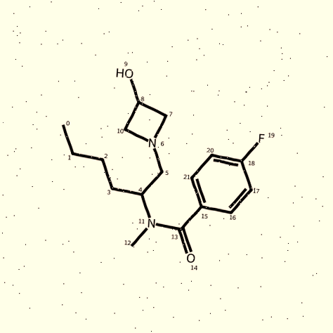 CCCCC(CN1CC(O)C1)N(C)C(=O)c1ccc(F)cc1